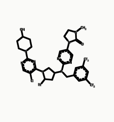 CCC1CC(N(Cc2cc(C(F)(F)F)cc(C(F)(F)F)c2)c2ncc(N3CCN(C)C3=O)cn2)CN1c1nc(N2CCC(O)CC2)ncc1Cl